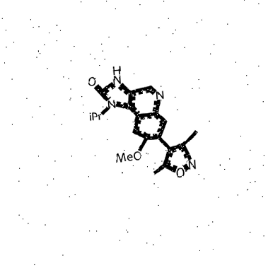 COc1cc2c(cc1-c1c(C)noc1C)ncc1[nH]c(=O)n(C(C)C)c12